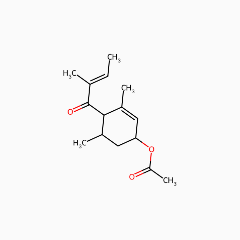 CC=C(C)C(=O)C1C(C)=CC(OC(C)=O)CC1C